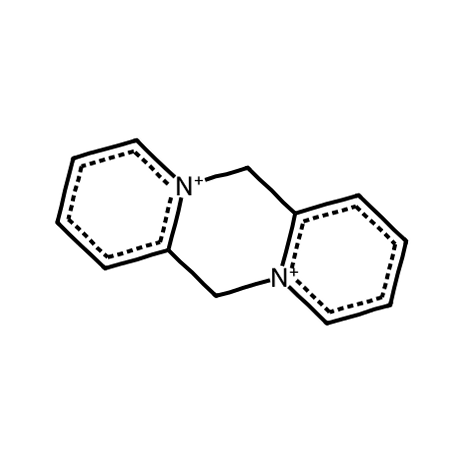 c1cc[n+]2c(c1)C[n+]1ccccc1C2